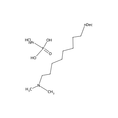 CCCCCCCCCCCCCCCCCCN(C)C.CCCP(=O)(O)O.Cl